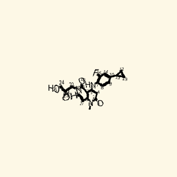 Cn1c(=O)cc(Nc2ccc(C3CC3)cc2F)c2c(=O)n(C[C@@H](O)CO)ccc21